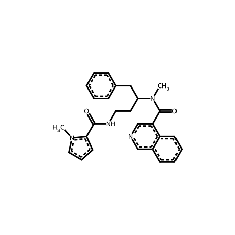 CN(C(=O)c1cncc2ccccc12)C(CCNC(=O)c1cccn1C)Cc1ccccc1